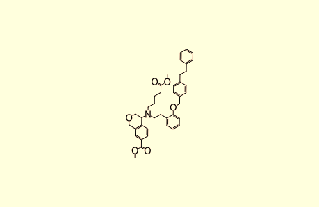 COC(=O)CCCCN(CCc1ccccc1OCc1ccc(CCc2ccccc2)cc1)C1COCc2cc(C(=O)OC)ccc21